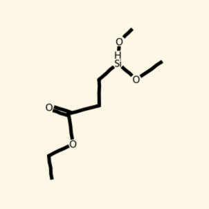 CCOC(=O)CC[SiH](OC)OC